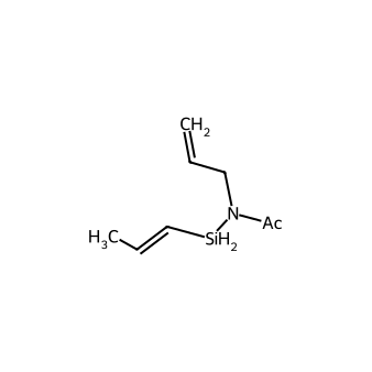 C=CCN([SiH2]C=CC)C(C)=O